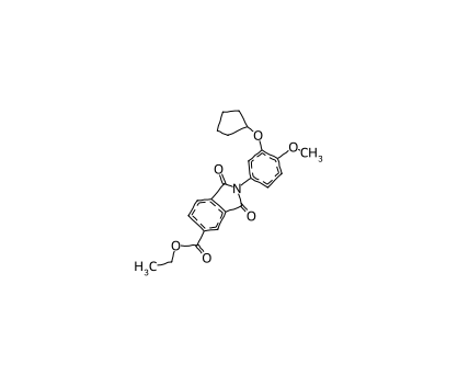 CCOC(=O)c1ccc2c(c1)C(=O)N(c1ccc(OC)c(OC3CCCC3)c1)C2=O